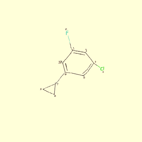 Fc1cc(Cl)cc([C]2CC2)c1